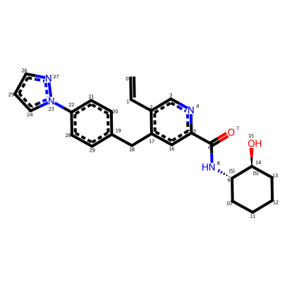 C=Cc1cnc(C(=O)N[C@H]2CCCC[C@@H]2O)cc1Cc1ccc(-n2cccn2)cc1